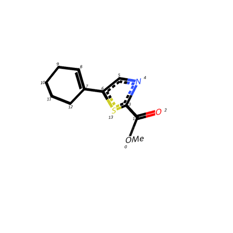 COC(=O)c1ncc(C2=CCCCC2)s1